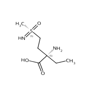 CC[C@](N)(CC[S@@](C)(=N)=O)C(=O)O